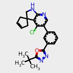 CC(C)(C)c1nnc(-c2cccc(-c3cnc4c(c3Cl)C3(CC=CC3)CN4)c2)o1